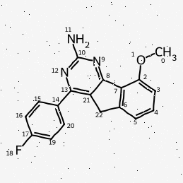 COc1cccc2c1-c1nc(N)nc(-c3ccc(F)cc3)c1C2